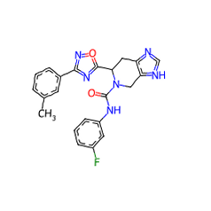 Cc1cccc(-c2noc(C3Cc4nc[nH]c4CN3C(=O)Nc3cccc(F)c3)n2)c1